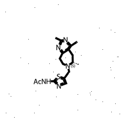 CC(=O)Nc1ncc(CN2CCc3nc(C)nc(C)c3C[C@@H]2C)s1